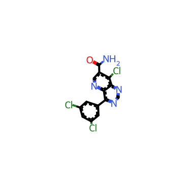 NC(=O)c1cnc2c(-c3cc(Cl)cc(Cl)c3)ncnc2c1Cl